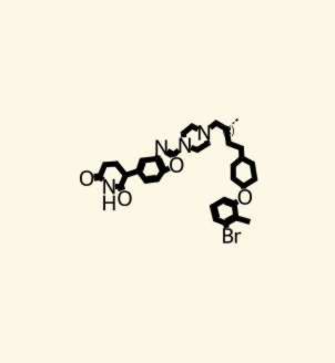 Cc1c(Br)cccc1OC1CCC(CC[C@@H](C)CN2CCN(c3nc4cc(C5CCC(=O)NC5=O)ccc4o3)CC2)CC1